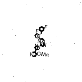 COc1ccncc1-c1cnn(-c2cnn3ccc(N4CCC[C@@H]4Cc4cc(F)ccc4F)nc23)c1